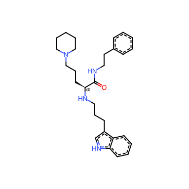 O=C(NCCc1ccccc1)[C@H](CCCN1CCCCC1)NCCCc1c[nH]c2ccccc12